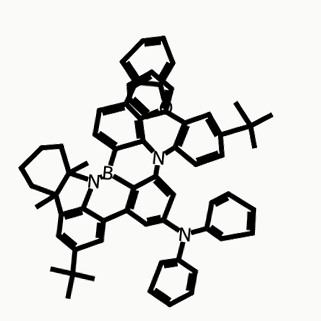 CC(C)(C)c1ccc(N2c3cc(N(c4ccccc4)c4ccccc4)cc4c3B(c3ccc5c(oc6ccccc65)c32)N2c3c-4cc(C(C)(C)C)cc3C3(C)CCCCC23C)c(-c2ccccc2)c1